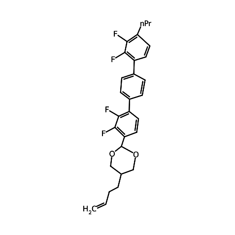 C=CCCC1COC(c2ccc(-c3ccc(-c4ccc(CCC)c(F)c4F)cc3)c(F)c2F)OC1